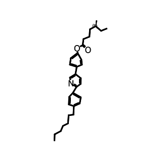 CCCCCCCc1ccc(-c2ccc(-c3ccc(OC(=O)CCC[C@@H](C)CC)cc3)cn2)cc1